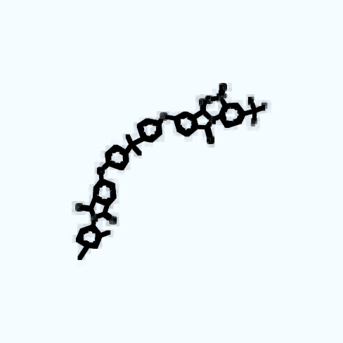 Cc1ccc(N2C(=O)c3ccc(Oc4ccc(C(C)(C)c5ccc(Oc6ccc7c(c6)C(=O)N(c6ccc(C(F)(F)F)cc6[N+](=O)[O-])C7=O)cc5)cc4)cc3C2=O)c(C)c1